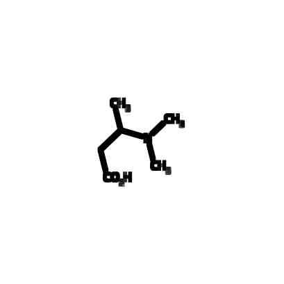 CC(CC(=O)O)N(C)C